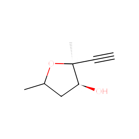 C#C[C@]1(C)OC(C)C[C@@H]1O